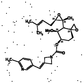 CO[C@H]1C([C@@]2(C)O[C@@H]2CC=C(C)C)[C@]2(CC[C@H]1OC(=O)N1CC(=Cc3ccc(C)nc3)C1)CO2